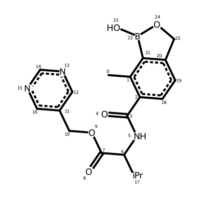 Cc1c(C(=O)NC(C(=O)OCc2cncnc2)C(C)C)ccc2c1B(O)OC2